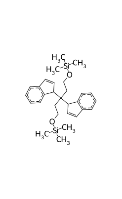 C[Si](C)(C)OCCC(CCO[Si](C)(C)C)(C1C=Cc2ccccc21)C1C=Cc2ccccc21